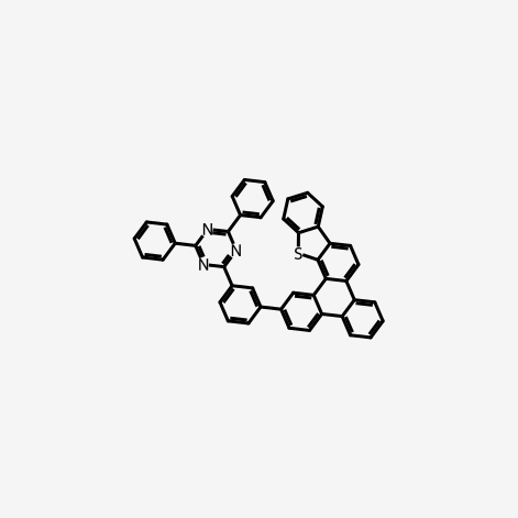 c1ccc(-c2nc(-c3ccccc3)nc(-c3cccc(-c4ccc5c6ccccc6c6ccc7c8ccccc8sc7c6c5c4)c3)n2)cc1